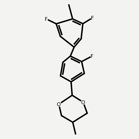 Cc1c(F)cc(-c2ccc(C3OCC(C)CO3)cc2F)cc1F